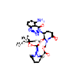 CC(C)(C)OC(=O)N1CCC[C@@H]1C(=O)OCN1C(=O)CCC(n2nnc3cccc(N)c3c2=O)C1=O